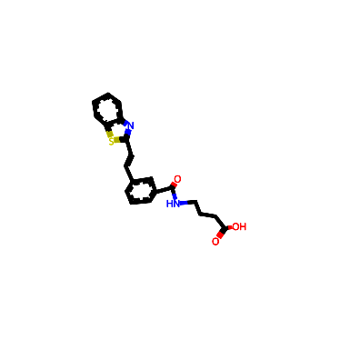 O=C(O)CCCNC(=O)c1cccc(C=Cc2nc3ccccc3s2)c1